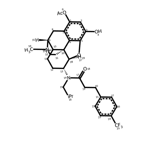 CC(=O)Oc1cc(O)c2c3c1C[C@@H]1[C@@H]4CC[C@@H](N(CC(C)C)C(=O)CCc5ccc(C(F)(F)F)cc5)[C@H](O2)[C@]34CCN1C